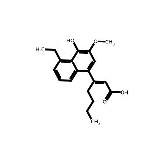 CCCC/C(=C\C(=O)O)c1cc(OC)c(O)c2c(CC)cccc12